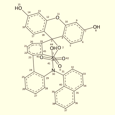 O=C1OC2(c3ccc(O)cc3Oc3cc(O)ccc32)c2cccc(-c3ccccc3N(c3cccc4ccccc34)S(=O)(=O)O)c21